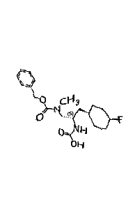 CN(C[C@H](C[C@H]1CC[C@@H](F)CC1)NC(=O)O)C(=O)OCc1ccccc1